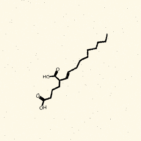 CCCCCCCCC=CC(CCCC(=O)O)C(=O)O